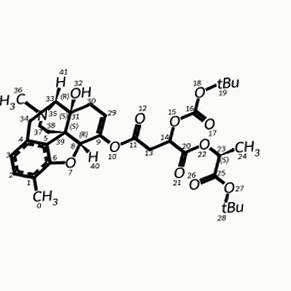 Cc1ccc2c3c1O[C@H]1C(OC(=O)CC(OC(=O)OC(C)(C)C)C(=O)O[C@@H](C)C(=O)OC(C)(C)C)=CC[C@@]4(O)[C@@H](C2)N(C)CC[C@]314